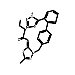 CCCC(=O)N=c1sc(C)nn1Cc1ccc(-c2ccccc2-c2nnn[nH]2)cc1